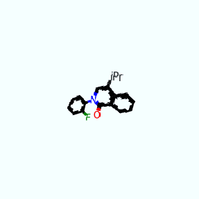 CC(C)c1cn(-c2ccccc2F)c(=O)c2ccccc12